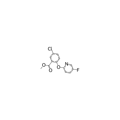 COC(=O)c1cc(Cl)ccc1Oc1ccc(F)cn1